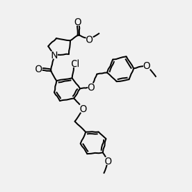 COC(=O)C1CCN(C(=O)c2ccc(OCc3ccc(OC)cc3)c(OCc3ccc(OC)cc3)c2Cl)C1